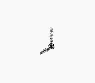 CCCCCCCCCCCCCOS(=O)(=O)CCCCCCCCF